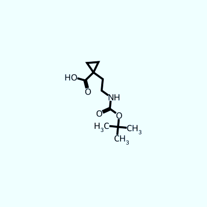 CC(C)(C)OC(=O)NCCC1(C(=O)O)CC1